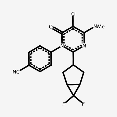 CNc1nc(C2CC3C(C2)C3(F)F)n(-c2ccc(C#N)cc2)c(=O)c1Cl